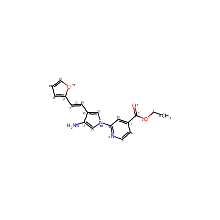 CCOC(=O)c1ccnc(-n2cc(N)c(/C=C/c3ccco3)c2)c1